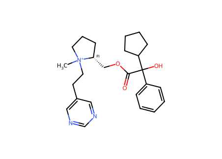 C[N+]1(CCc2cncnc2)CCC[C@@H]1COC(=O)C(O)(c1ccccc1)C1CCCC1